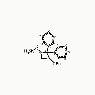 CC(C)(C)C1CN(O[SiH3])C1(c1ccccc1)c1ccccc1